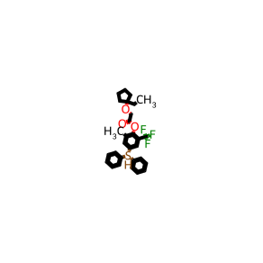 CCC1(OCC(=O)Oc2c(C)cc([SH](c3ccccc3)c3ccccc3)cc2C(F)(F)F)CCCC1